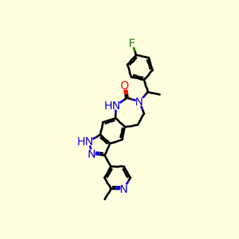 Cc1cc(-c2n[nH]c3cc4c(cc23)CCN(C(C)c2ccc(F)cc2)C(=O)N4)ccn1